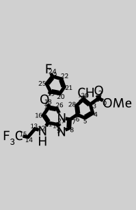 COC(=O)c1ccc(-c2cnc3c(NCCC(F)(F)F)cc(Oc4cccc(F)c4)cn23)cc1C